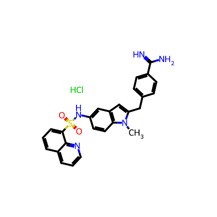 Cl.Cn1c(Cc2ccc(C(=N)N)cc2)cc2cc(NS(=O)(=O)c3cccc4cccnc34)ccc21